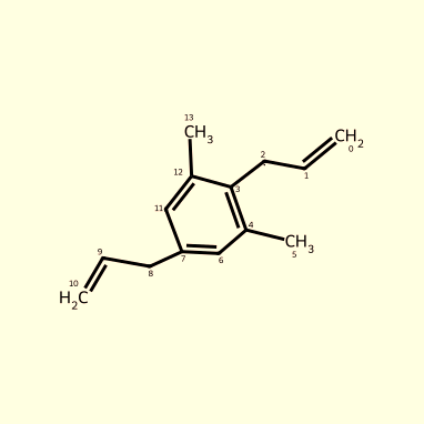 C=C[CH]c1c(C)cc(CC=C)cc1C